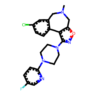 CN1Cc2cc(Cl)ccc2-c2c(N3CCN(c4ccc(F)cn4)CC3)noc2C1